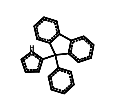 c1ccc(C2(c3ccc[nH]3)c3ccccc3-c3ccccc32)cc1